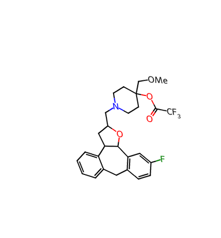 COCC1(OC(=O)C(F)(F)F)CCN(CC2CC3c4ccccc4Cc4ccc(F)cc4C3O2)CC1